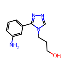 Nc1cccc(-c2nncn2CCCO)c1